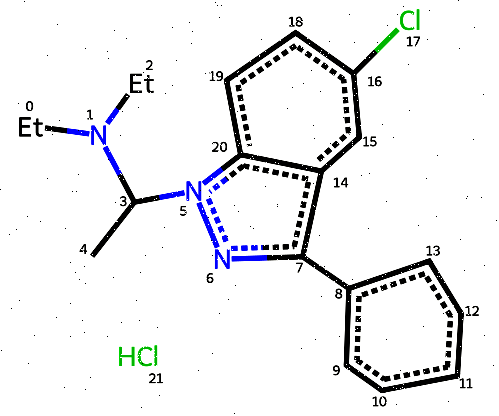 CCN(CC)C(C)n1nc(-c2ccccc2)c2cc(Cl)ccc21.Cl